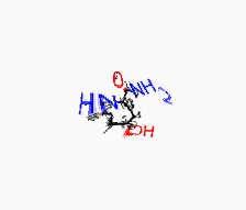 NC(=O)[C@H]1C[C@@H](O)CCN1